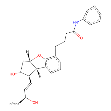 CCCCC[C@H](O)/C=C/[C@@H]1[C@H]2c3cccc(CCCC(=O)Nc4ccccc4)c3O[C@H]2C[C@H]1O